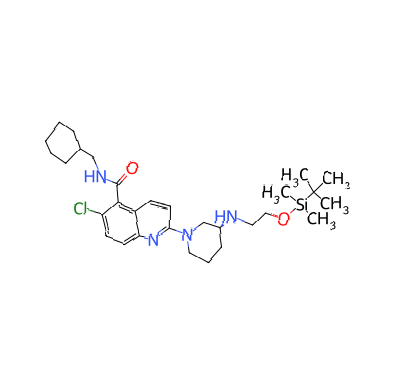 CC(C)(C)[Si](C)(C)OCCN[C@H]1CCCN(c2ccc3c(C(=O)NCC4CCCCC4)c(Cl)ccc3n2)C1